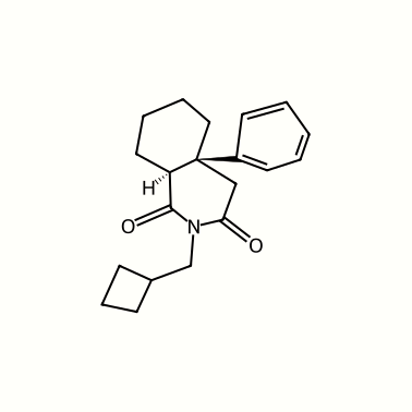 O=C1C[C@@]2(c3ccccc3)CCCC[C@@H]2C(=O)N1CC1CCC1